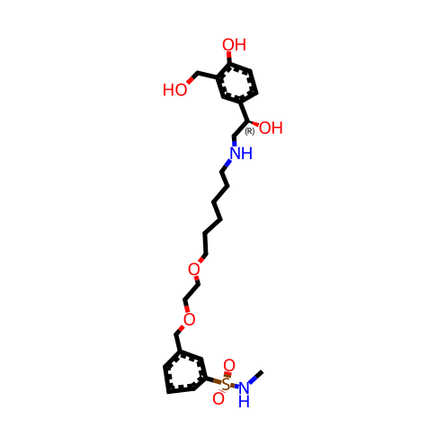 CNS(=O)(=O)c1cccc(COCCOCCCCCCNC[C@H](O)c2ccc(O)c(CO)c2)c1